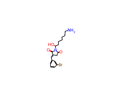 NCCCCCCC(O)N1C(=O)C/C(=C\c2cccc(Br)c2)C1=O